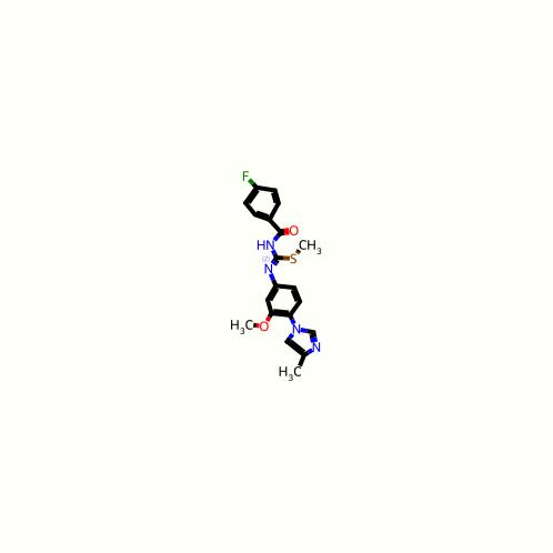 COc1cc(/N=C(/NC(=O)c2ccc(F)cc2)SC)ccc1-n1cnc(C)c1